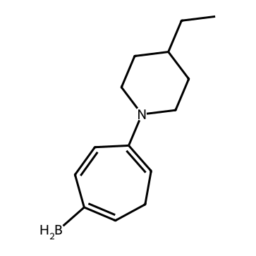 BC1=CCC=C(N2CCC(CC)CC2)C=C1